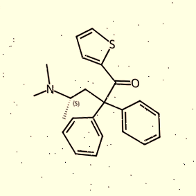 C[C@@H](CC(C(=O)c1cccs1)(c1ccccc1)c1ccccc1)N(C)C